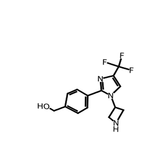 OCc1ccc(-c2nc(C(F)(F)F)cn2C2CNC2)cc1